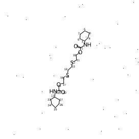 O=C(NC1CCCCC1)OCCSCCSCCOC(=O)NC1CCCCC1